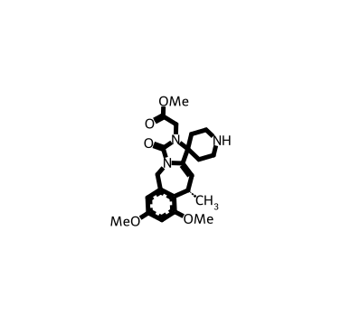 COC(=O)CN1C(=O)N2Cc3cc(OC)cc(OC)c3[C@@H](C)C=C2C12CCNCC2